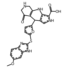 COc1ccc2nc(Sc3ccc(C4C5=C(CNCC5=O)Nc5c4c[nH]c5C(=O)O)o3)[nH]c2c1